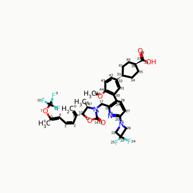 C=C(/C=C\C=C(/C)OC(F)(F)F)[C@H]1OC(=O)N(Cc2nc(N3CC(F)(F)C3)ccc2-c2cc([C@H]3CC[C@H](C(=O)O)CC3)ccc2OC)[C@H]1C